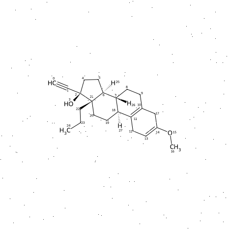 C#C[C@]1(O)CC[C@H]2[C@@H]3CCC4=C(CC=C(OC)C4)[C@H]3CC[C@@]21CCC